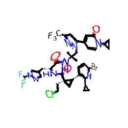 CC(C)(Cn1nc(C(F)(F)F)cc1-c1ccn(C2CC2)c(=O)c1)NC(=O)[C@@H](Cc1cnn(C(F)F)c1)NC(=O)[C@]1(CCCl)C[C@H]1c1ccc(Br)nc1C1CC1